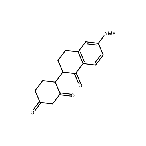 CNc1ccc2c(c1)CCC(C1CCC(=O)CC1=O)C2=O